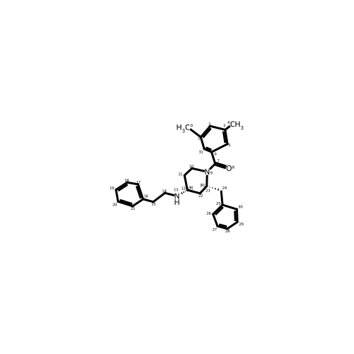 Cc1cc(C)cc(C(=O)N2CC[C@@H](NCCc3ccccc3)C[C@H]2Cc2ccccc2)c1